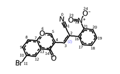 N#C/C(=C\c1coc2ccc(Br)cc2c1=O)c1ccccc1[N+](=O)[O-]